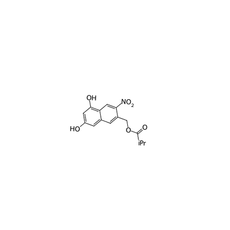 CC(C)C(=O)OCc1cc2cc(O)cc(O)c2cc1[N+](=O)[O-]